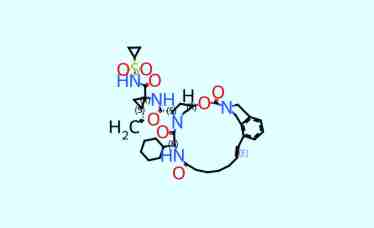 C=C[C@@H]1C[C@]1(NC(=O)[C@@H]1C[C@@H]2CN1C(=O)[C@H](C1CCCCC1)NC(=O)CCCC/C=C/c1cccc3c1CN(C3)C(=O)O2)C(=O)NS(=O)(=O)C1CC1